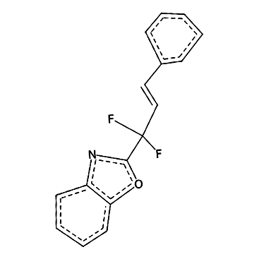 FC(F)(C=Cc1ccccc1)c1nc2ccccc2o1